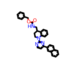 O=C(NCC1CCN(c2nccc(-c3ccc4ccccc4c3)n2)c2ccccc21)OCc1ccccc1